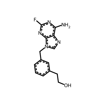 Nc1nc(F)nc2c1ncn2Cc1cccc(CCO)c1